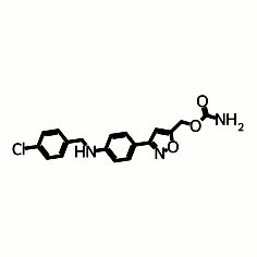 NC(=O)OCc1cc(-c2ccc(NCc3ccc(Cl)cc3)cc2)no1